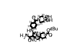 CC(C)(C)OC(=O)N1CCC(CC#N)(n2cc(C(N)=O)c(Nc3ccc(C(=O)N4CCS(O)(O)CC4)cc3)n2)CC1